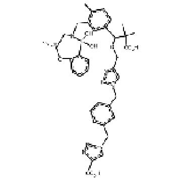 Cc1ccc(C(OCc2cn(Cc3cccc(Cn4cc(C(=O)O)nn4)c3)nn2)C(C)(C)C(=O)O)cc1CN1C[C@@H](C)Oc2ccccc2S1(O)O